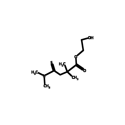 CN(C)C(=S)CC(C)(C)C(=O)OCCO